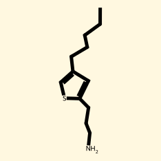 CCCCCc1csc(CCCN)c1